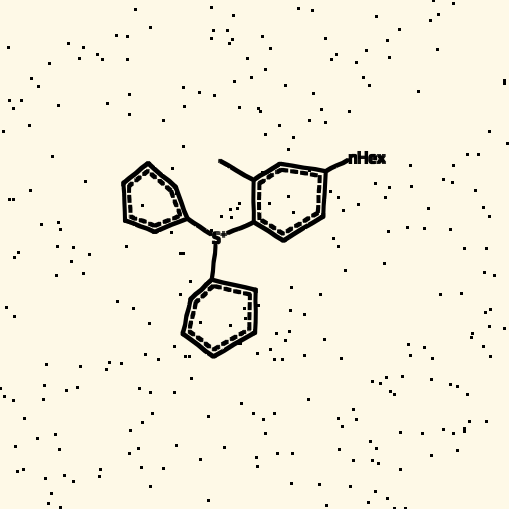 CCCCCCc1ccc([S+](c2ccccc2)c2ccccc2)c(C)c1